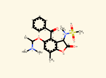 CCCCN(CCCC)C(CC)Oc1cc(C)c2c(c1C(=O)c1ccccc1)C(N(C)S(C)(=O)=O)C(=O)O2